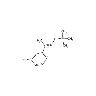 C/C(=N\O[Si](C)(C)C)c1cccc(C#N)c1